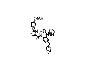 CCCNC(=O)c1cc(CN2CCOCC2)ccc1NC(=O)c1csc(N2CC[C@H](OC)C2)n1